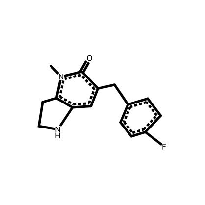 Cn1c2c(cc(Cc3ccc(F)cc3)c1=O)NCC2